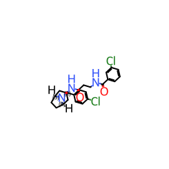 O=C(CCNC(=O)c1cccc(Cl)c1)N[C@H]1C[C@H]2CC[C@@H](C1)N2Cc1ccc(Cl)cc1